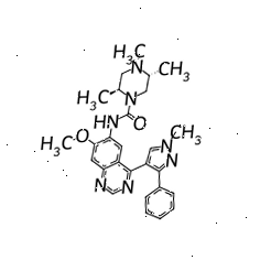 COc1cc2ncnc(-c3cn(C)nc3-c3ccccc3)c2cc1NC(=O)N1C[C@@H](C)N(C)C[C@@H]1C